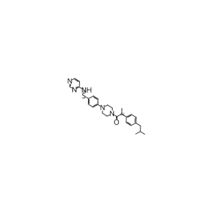 CC(C)Cc1ccc([C@H](C)C(=O)N2CCN(c3ccc(SNc4ccncn4)cc3)CC2)cc1